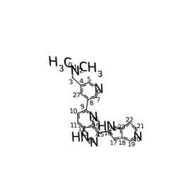 CN(C)Cc1cncc(-c2ccc3[nH]nc(-c4cc5cnccc5[nH]4)c3n2)c1